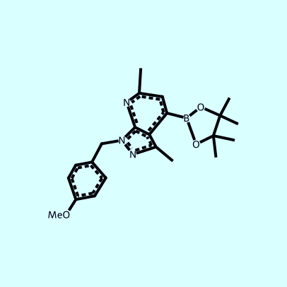 COc1ccc(Cn2nc(C)c3c(B4OC(C)(C)C(C)(C)O4)cc(C)nc32)cc1